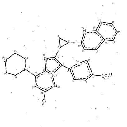 O=C(O)c1ccc(-c2c([C@@H]3C[C@@H]3c3ccc4ccccc4n3)nc3c(N4CCOCC4)cc(Cl)nn23)cc1